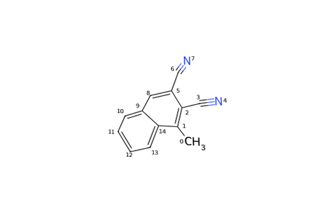 Cc1c(C#N)c(C#N)cc2ccccc12